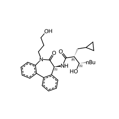 CCCC[C@H](O)[C@@H](CC1CC1)C(=O)N[C@@H]1C(=O)N(CCCO)c2ccccc2-c2ccccc21